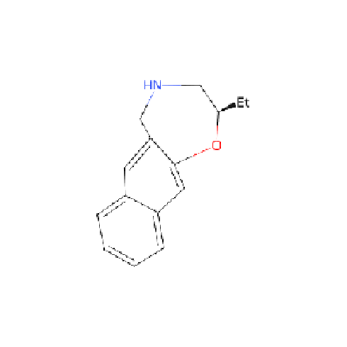 CC[C@@H]1CNCc2cc3ccccc3cc2O1